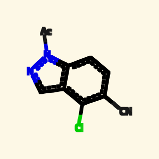 CC(=O)n1ncc2c(Cl)c(C#N)ccc21